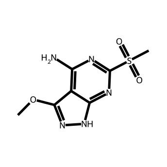 COc1n[nH]c2nc(S(C)(=O)=O)nc(N)c12